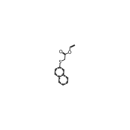 C=COC(=O)CSc1ccc2ccccc2c1